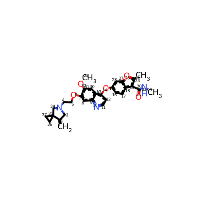 C=C1CN(CCOc2cc3nccc(Oc4ccc5c(C(=O)NC)c(C)oc5c4)c3cc2OC)CC12CC2